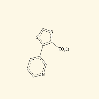 CCOC(=O)c1ncsc1-c1cccnc1